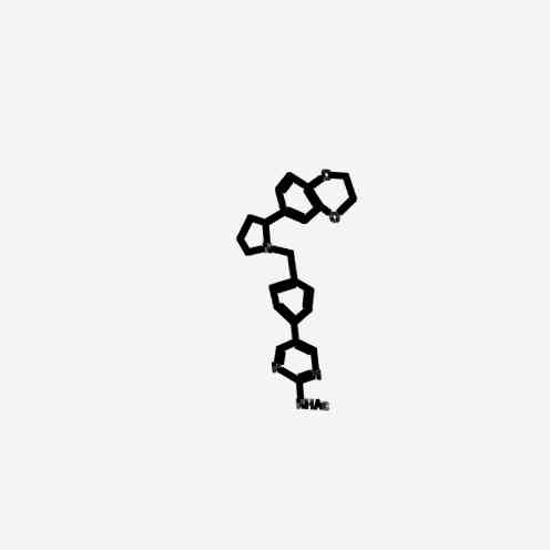 CC(=O)Nc1ncc(-c2ccc(CN3CCCC3c3ccc4c(c3)OCCO4)cc2)cn1